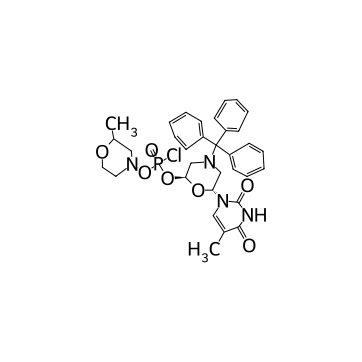 Cc1cn([C@H]2CN(C(c3ccccc3)(c3ccccc3)c3ccccc3)C[C@H](OP(=O)(Cl)ON3CCOC(C)C3)O2)c(=O)[nH]c1=O